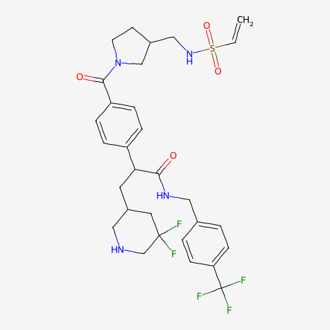 C=CS(=O)(=O)NCC1CCN(C(=O)c2ccc(C(CC3CNCC(F)(F)C3)C(=O)NCc3ccc(C(F)(F)F)cc3)cc2)C1